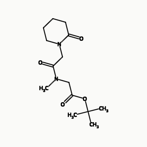 CN(CC(=O)OC(C)(C)C)C(=O)CN1CCCCC1=O